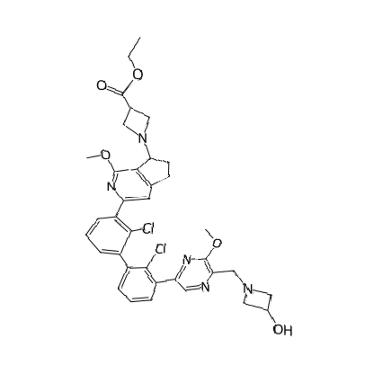 CCOC(=O)C1CN(C2CCc3cc(-c4cccc(-c5cccc(-c6cnc(CN7CC(O)C7)c(OC)n6)c5Cl)c4Cl)nc(OC)c32)C1